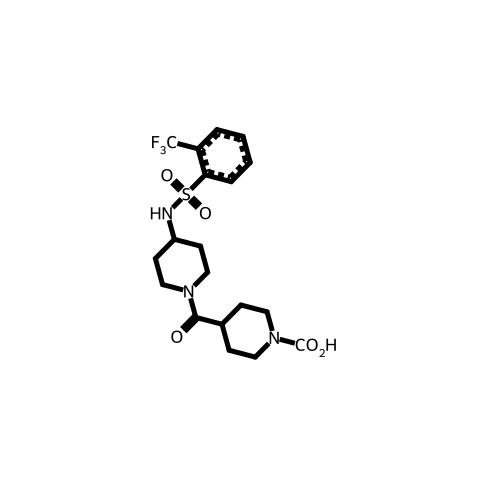 O=C(O)N1CCC(C(=O)N2CCC(NS(=O)(=O)c3ccccc3C(F)(F)F)CC2)CC1